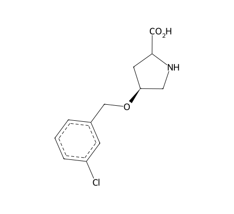 O=C(O)C1C[C@H](OCc2cccc(Cl)c2)CN1